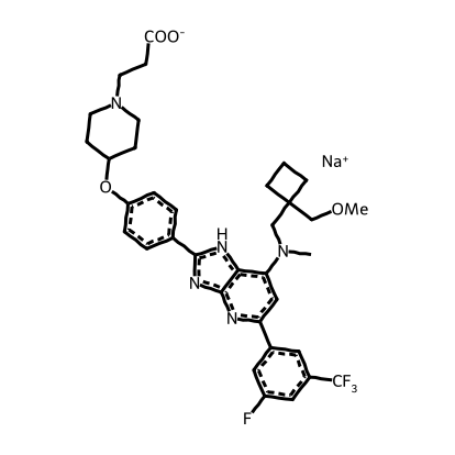 COCC1(CN(C)c2cc(-c3cc(F)cc(C(F)(F)F)c3)nc3nc(-c4ccc(OC5CCN(CCC(=O)[O-])CC5)cc4)[nH]c23)CCC1.[Na+]